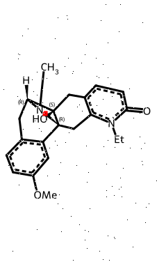 CCn1c2c(ccc1=O)C[C@@]1(O)[C@H]3Cc4ccc(OC)cc4[C@@]1(CCN3C)C2